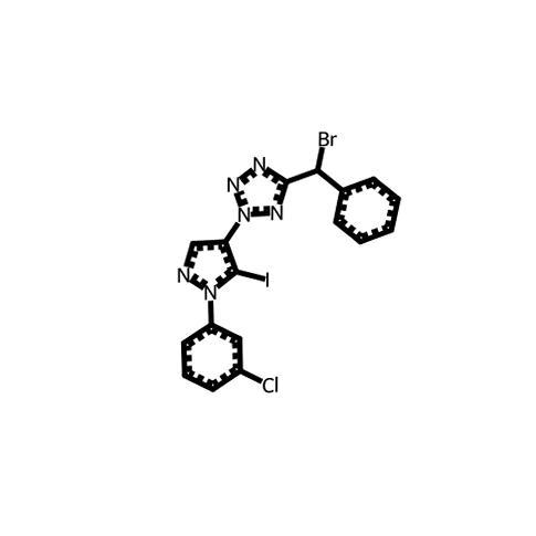 Clc1cccc(-n2ncc(-n3nnc(C(Br)c4ccccc4)n3)c2I)c1